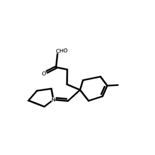 CC1=CCC(C=[N+]2CCCC2)(CCC(=O)C=O)CC1